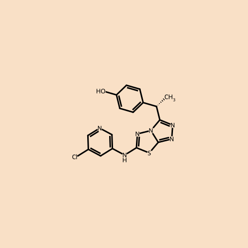 C[C@@H](c1ccc(O)cc1)c1nnc2sc(Nc3cncc(Cl)c3)nn12